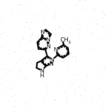 Cc1cccc(-n2nc3c(c2-c2ccc4nccn4n2)CCN3)n1